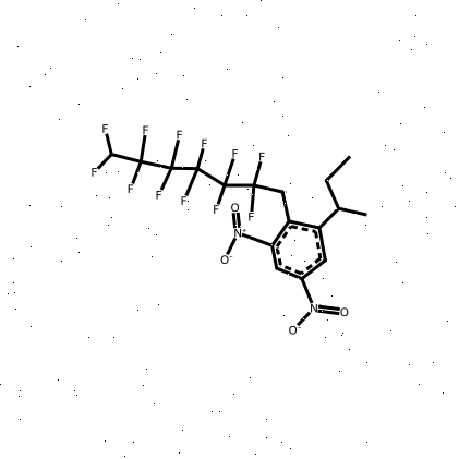 CCC(C)c1cc([N+](=O)[O-])cc([N+](=O)[O-])c1[CH]C(F)(F)C(F)(F)C(F)(F)C(F)(F)C(F)(F)C(F)F